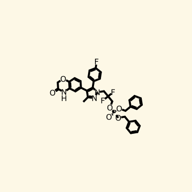 Cc1nn(CC(F)(F)COP(=O)(OCc2ccccc2)OCc2ccccc2)c(-c2ccc(F)cc2)c1-c1ccc2c(c1)NC(=O)CO2